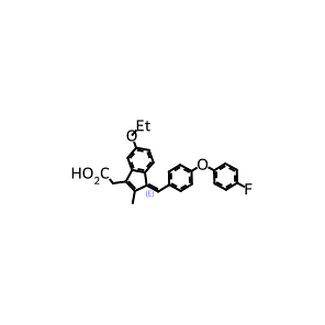 CCOc1ccc2c(c1)C(CC(=O)O)=C(C)/C2=C/c1ccc(Oc2ccc(F)cc2)cc1